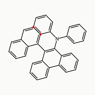 c1ccc(N(c2ccccc2)c2c(-c3cccc4ccccc34)c3ccccc3c3ccccc23)cc1